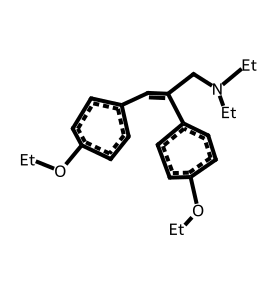 CCOc1ccc(C=C(CN(CC)CC)c2ccc(OCC)cc2)cc1